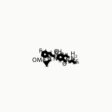 COc1cc(F)cc2cc(-c3nc4cc5c(cc4n3C)CCN(C[C@H](N)CF)C5=O)n(CC3CC3)c12